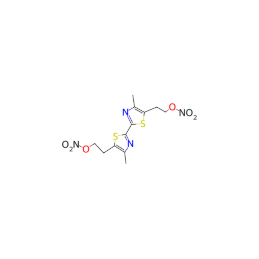 Cc1nc(-c2nc(C)c(CCO[N+](=O)[O-])s2)sc1CCO[N+](=O)[O-]